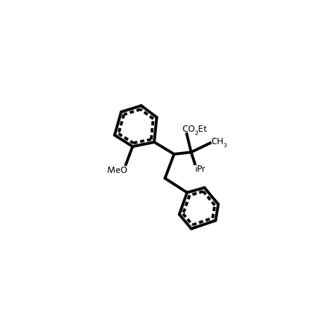 CCOC(=O)C(C)(C(C)C)C(Cc1ccccc1)c1ccccc1OC